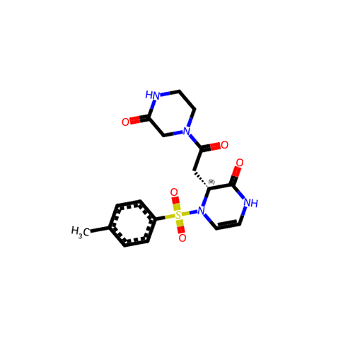 Cc1ccc(S(=O)(=O)N2C=CNC(=O)[C@H]2CC(=O)N2CCNC(=O)C2)cc1